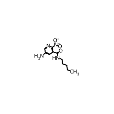 CCCCCNC(=O)c1cc(N)cnc1[N+](=O)[O-]